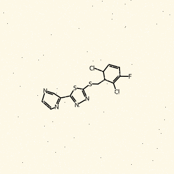 FC1=C(Cl)C(CSc2nnc(-c3cnccn3)s2)C(Cl)C=C1